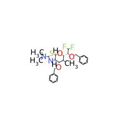 C[C@H]1[C@H](OCc2ccccc2)[C@H]2N=C(N(C)C)S[C@H]2O[C@@H]1C(OCc1ccccc1)C(F)F